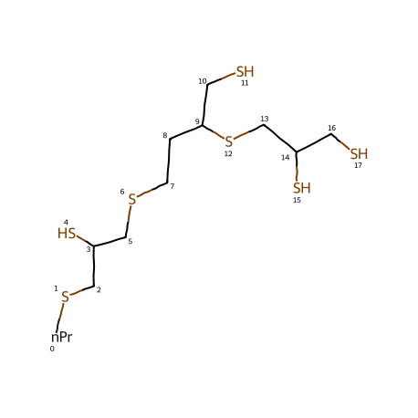 CCCSCC(S)CSCCC(CS)SCC(S)CS